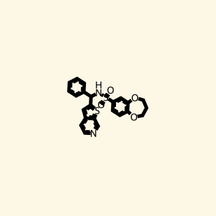 O=S(=O)(NC(c1ccccc1)c1cc2ccncc2s1)c1ccc2c(c1)OCCCO2